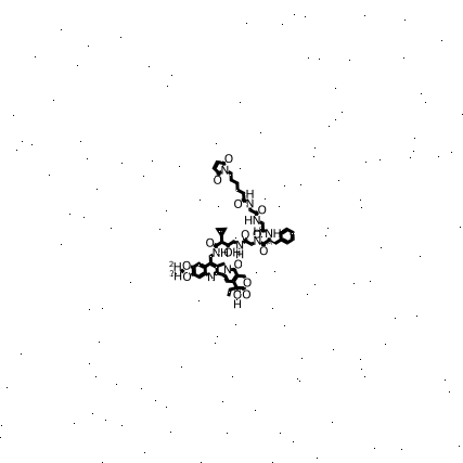 [2H]C1([2H])Oc2cc3nc4c(c(CNC(=O)C(C(O)CNC(=O)CNC(=O)[C@H](Cc5ccccc5)NC(=O)CNC(=O)CNC(=O)CCCCCN5C(=O)C=CC5=O)C5CC5)c3cc2O1)Cn1c-4cc2c(c1=O)COC(=O)[C@]2(O)CC